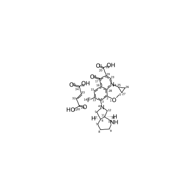 COc1c(N2C[C@@H]3CCCN[C@@H]3C2)c(F)cc2c(=O)c(C(=O)O)cn(C3CC3)c12.O=C(O)/C=C/C(=O)O